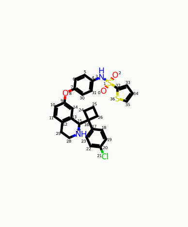 O=S(=O)(Nc1ccc(Oc2ccc3c(c2)C(C2(c4ccc(Cl)cc4)CCC2)NCC3)cc1)c1cccs1